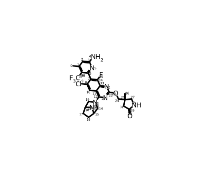 Cc1cc(N)nc(-c2c(Cl)cc3c(N4CC5CCC(C4)N5)nc(OCC4(C)CNC(=O)C4)nc3c2F)c1C(F)(F)F